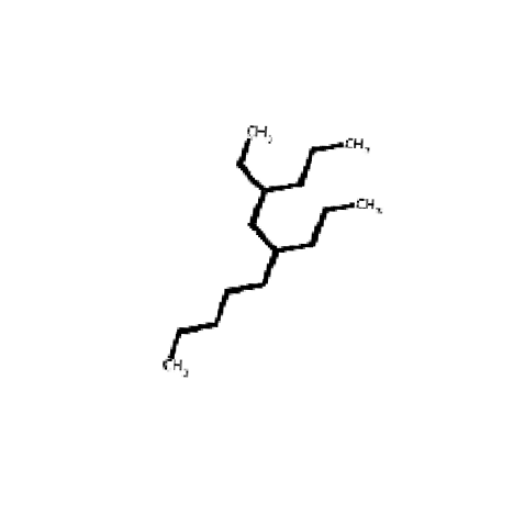 CCCCCC(CCC)CC(CC)CCC